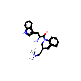 CN(C)CC1Cc2ccccc2N(C(=O)C(N)Cc2c[nH]c3ccccc23)C1